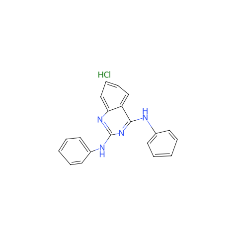 Cl.c1ccc(Nc2nc(Nc3ccccc3)c3ccccc3n2)cc1